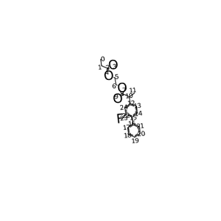 CCC(=O)OCCOC(=O)C(C)c1ccc(-c2ccccc2)c(F)c1